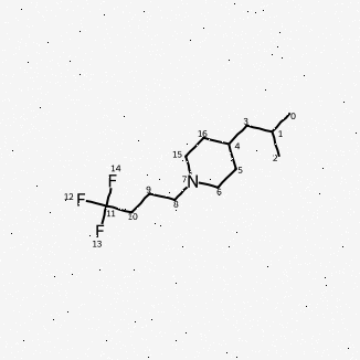 CC(C)CC1CCN(CCCC(F)(F)F)CC1